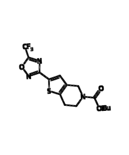 CC(C)COC(=O)N1CCc2sc(-c3noc(C(F)(F)F)n3)cc2C1